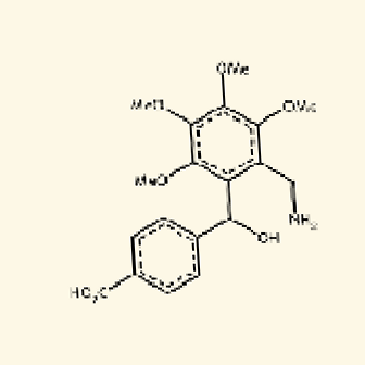 COc1c(CN)c(C(O)c2ccc(C(=O)O)cc2)c(OC)c(OC)c1OC